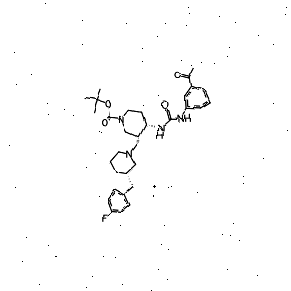 CC(=O)c1cccc(NC(=O)N[C@H]2CCN(C(=O)OC(C)(C)C)C[C@H]2CN2CCC[C@@H](Cc3ccc(F)cc3)C2)c1